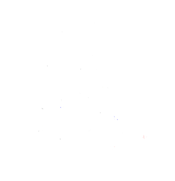 O=C(O)NC(CSC(c1ccccc1)(c1ccccc1)c1ccccc1)Cc1cscn1